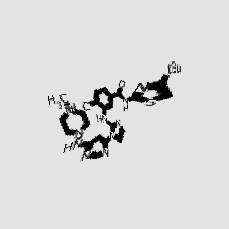 Cc1ccc(C(=O)Nc2nc(C(C)(C)C)cs2)cc1Nc1nccn1-c1cc(NN2CCN(C)CC2)ncn1